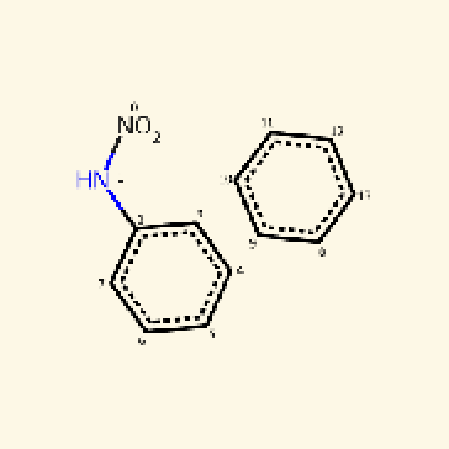 O=[N+]([O-])Nc1ccccc1.c1ccccc1